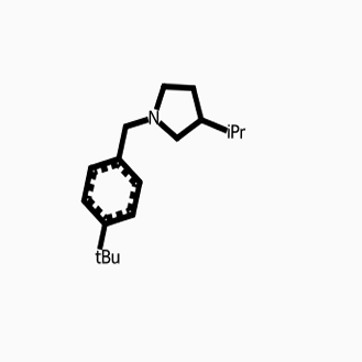 CC(C)C1CCN(Cc2ccc(C(C)(C)C)cc2)C1